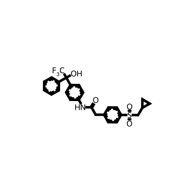 O=C(Cc1ccc(S(=O)(=O)CC2CC2)cc1)Nc1ccc(C(O)(c2ccccc2)C(F)(F)F)cc1